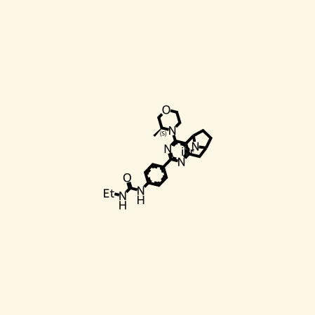 CCNC(=O)Nc1ccc(-c2nc3c(c(N4CCOC[C@@H]4C)n2)C2CCC(C3)N2C(C)C)cc1